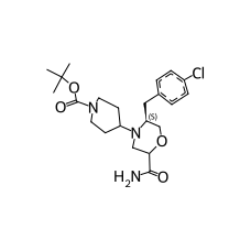 CC(C)(C)OC(=O)N1CCC(N2CC(C(N)=O)OC[C@@H]2Cc2ccc(Cl)cc2)CC1